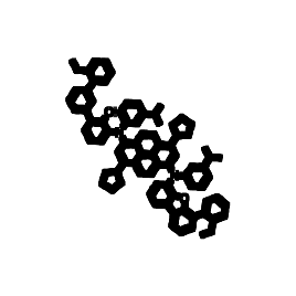 CCc1ccccc1-c1cccc(-c2cccc(N(c3cccc(C(C)C)c3)c3cc(C4CCCC4)c4ccc5c(N(c6cccc(C(C)C)c6)c6cccc7c6oc6c(-c8ccccc8CC)cccc67)cc(C6CCCC6)c6ccc3c4c65)c2O)c1